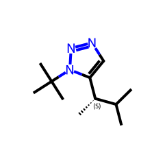 CC(C)[C@H](C)c1cnnn1C(C)(C)C